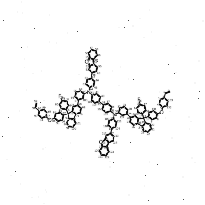 C=Cc1ccc(Oc2ccc(C3(c4ccc(F)cc4)c4ccccc4-c4ccc(-c5cccc(N(c6ccc(-c7ccc(N(c8ccc(-c9ccc%10c(c9)oc9ccccc9%10)cc8)c8cccc(-c9ccc%10c(c9)C(c9ccc(F)cc9)(c9ccc(Oc%11ccc(C=C)cc%11)cc9)c9ccccc9-%10)c8)cc7)cc6)c6ccc(-c7ccc8c(c7)oc7ccccc78)cc6)c5)cc43)cc2)cc1